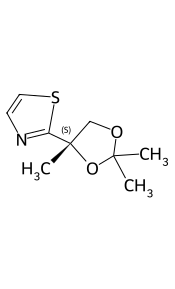 CC1(C)OC[C@@](C)(c2nccs2)O1